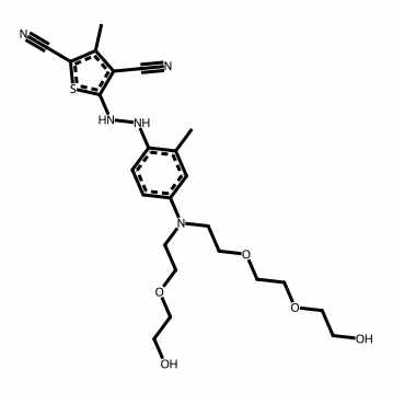 Cc1cc(N(CCOCCO)CCOCCOCCO)ccc1NNc1sc(C#N)c(C)c1C#N